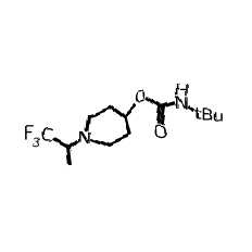 CC(N1CCC(OC(=O)NC(C)(C)C)CC1)C(F)(F)F